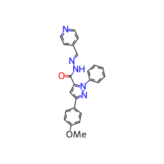 COc1ccc(-c2cc(C(=O)N/N=C/c3ccncc3)n(-c3ccccc3)n2)cc1